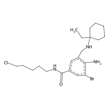 CCC1(NCc2cc(C(=O)NCCCCCCl)cc(Br)c2N)CCCCC1